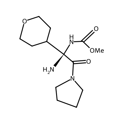 COC(=O)N[C@](N)(C(=O)N1CCCC1)C1CCOCC1